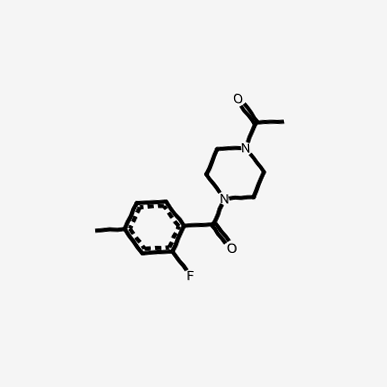 CC(=O)N1CCN(C(=O)c2ccc(C)cc2F)CC1